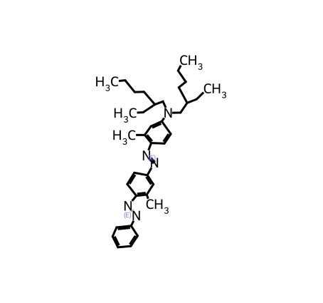 CCCCC(CC)CN(CC(CC)CCCC)c1ccc(/N=N/c2ccc(/N=N/c3ccccc3)c(C)c2)c(C)c1